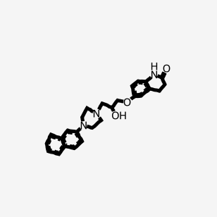 O=C1CCc2cc(OCC(O)CN3CCN(c4ccc5ccccc5c4)CC3)ccc2N1